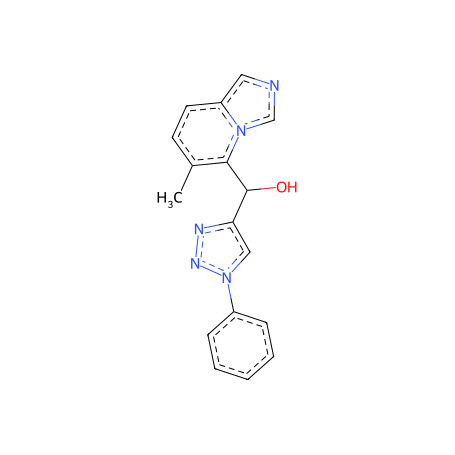 Cc1ccc2cncn2c1C(O)c1cn(-c2ccccc2)nn1